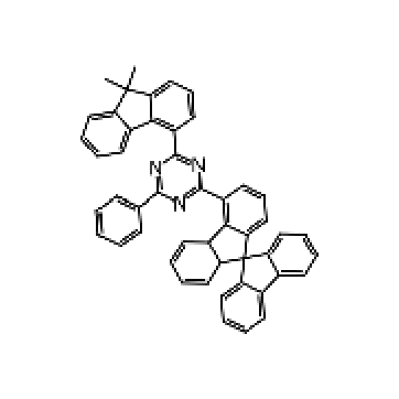 CC1(C)c2ccccc2-c2c(-c3nc(-c4ccccc4)nc(-c4cccc5c4C4C=CC=CC4C54c5ccccc5-c5ccccc54)n3)cccc21